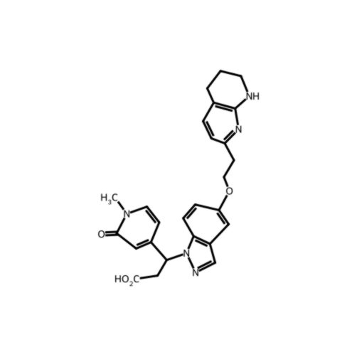 Cn1ccc(C(CC(=O)O)n2ncc3cc(OCCc4ccc5c(n4)NCCC5)ccc32)cc1=O